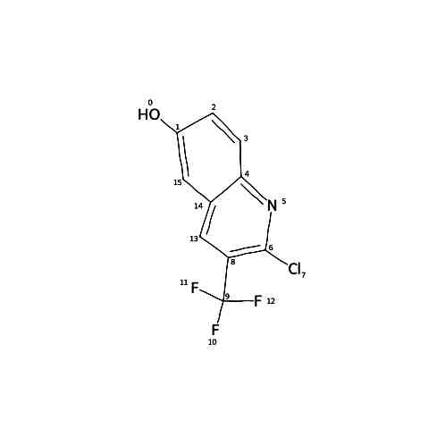 Oc1ccc2nc(Cl)c(C(F)(F)F)cc2c1